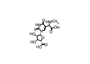 CNC(C(=O)O)c1cn([C@@H]2O[C@H](C(=O)O)[C@@H](O)[C@H]2O)c(=S)[nH]c1=O